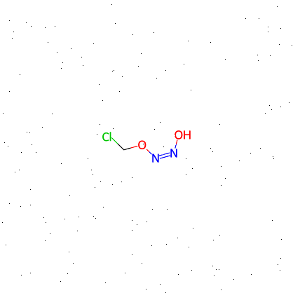 O/N=N\OCCl